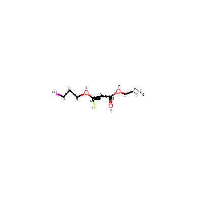 CCOC(=O)C=C(F)OCCCI